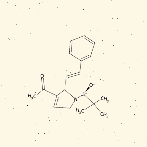 CC(=O)C1=CCN([S@@+]([O-])C(C)(C)C)[C@H]1/C=C/c1ccccc1